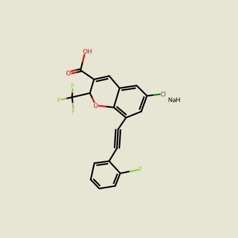 O=C(O)C1=Cc2cc(Cl)cc(C#Cc3ccccc3F)c2OC1C(F)(F)F.[NaH]